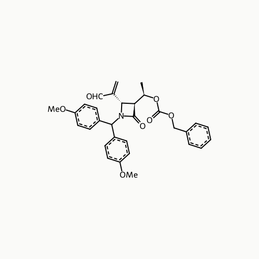 C=C(C=O)[C@@H]1[C@@H]([C@@H](C)OC(=O)OCc2ccccc2)C(=O)N1C(c1ccc(OC)cc1)c1ccc(OC)cc1